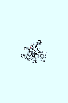 CC1=CC(C)(C)c2cc3c(cc21)-c1cc2c(cc1[CH]3[Zr+2]([C]1=CC=CC1)=[C](c1cccc(Cl)c1)c1cccc(Cl)c1)C(C)(C)C=C2C.[Cl-].[Cl-]